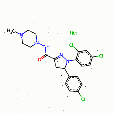 CN1CCN(NC(=O)C2=NN(c3ccc(Cl)cc3Cl)C(c3ccc(Cl)cc3)C2)CC1.Cl